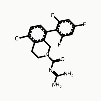 NC(N)=NC(=O)N1CCc2c(Cl)ccc(-c3c(F)cc(F)cc3F)c2C1